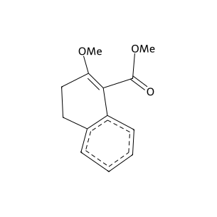 COC(=O)C1=C(OC)CCc2ccccc21